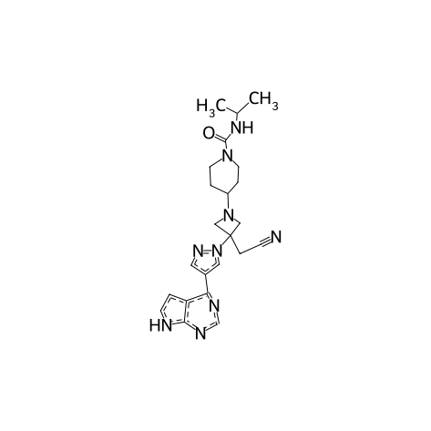 CC(C)NC(=O)N1CCC(N2CC(CC#N)(n3cc(-c4ncnc5[nH]ccc45)cn3)C2)CC1